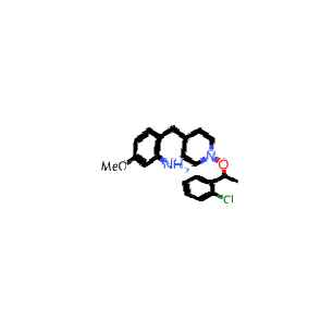 COc1ccc(CC2CCN(OC(C)c3ccccc3Cl)CC2)c(N)c1